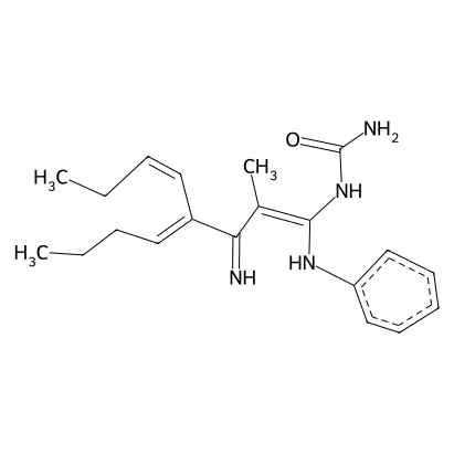 CC/C=C\C(=C/CCC)C(=N)/C(C)=C(/NC(N)=O)Nc1ccccc1